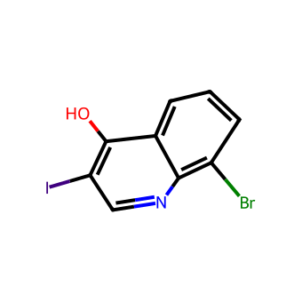 Oc1c(I)cnc2c(Br)cccc12